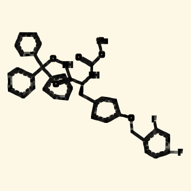 CC(C)(C)OC(=O)N[C@@H](Cc1ccc(OCc2ccc(F)cc2F)cc1)C(=O)NOC(c1ccccc1)(c1ccccc1)c1ccccc1